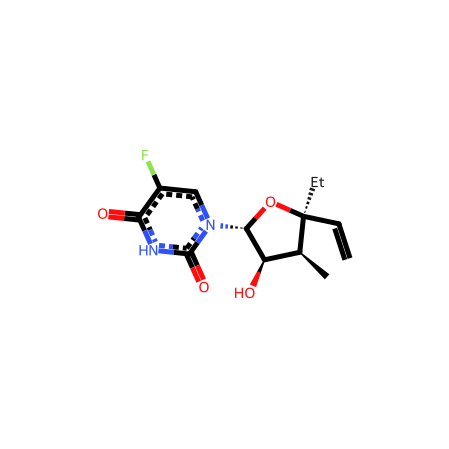 C=C[C@]1(CC)O[C@@H](n2cc(F)c(=O)[nH]c2=O)[C@H](O)[C@@H]1C